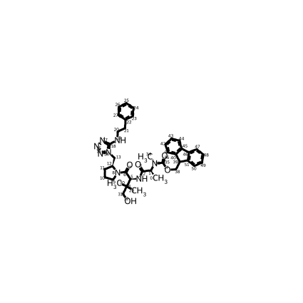 C[C@@H](C(=O)N[C@H](C(=O)N1CCC[C@H]1Cn1nnnc1NCCc1ccccc1)C(C)(C)CO)N(C)C(=O)OCC1c2ccccc2-c2ccccc21